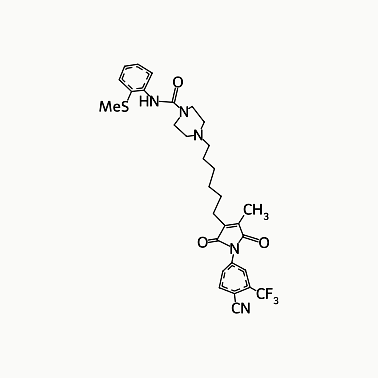 CSc1ccccc1NC(=O)N1CCN(CCCCCCC2=C(C)C(=O)N(c3ccc(C#N)c(C(F)(F)F)c3)C2=O)CC1